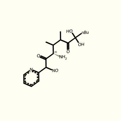 CCCCC(O)(O)C(=O)C(C)C(C)[C@H](N)C(=O)C(N=O)c1ccccn1